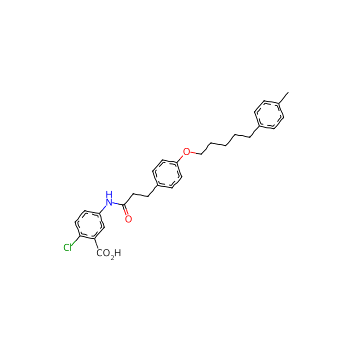 Cc1ccc(CCCCCOc2ccc(CCC(=O)Nc3ccc(Cl)c(C(=O)O)c3)cc2)cc1